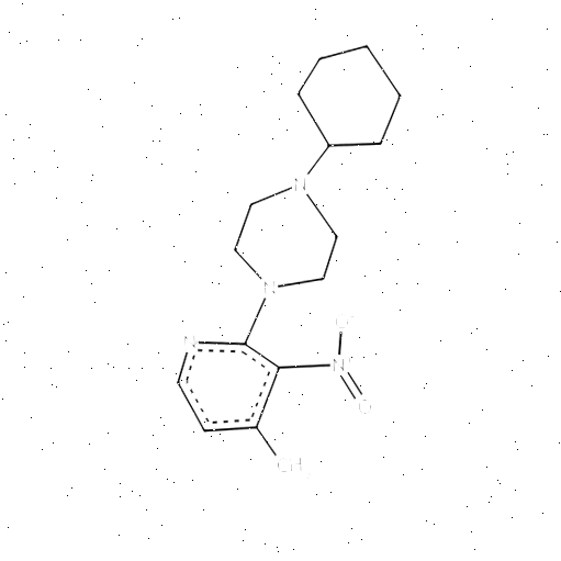 Cc1ccnc(N2CCN(C3CCCCC3)CC2)c1[N+](=O)[O-]